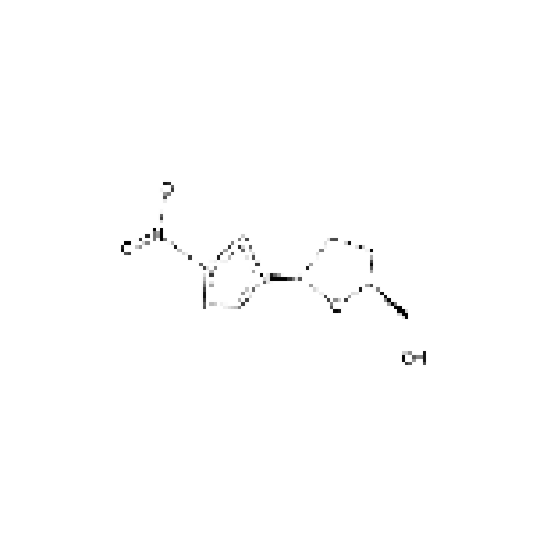 O=[N+]([O-])c1ccn([C@H]2CC[C@@H](CO)O2)c1